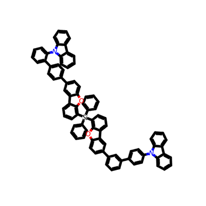 c1ccc([Si](c2ccccc2)(c2cccc3c2oc2ccc(-c4ccc(-c5ccccc5-n5c6ccccc6c6ccccc65)cc4)cc23)c2cccc3c2oc2ccc(-c4cccc(-c5ccc(-n6c7ccccc7c7ccccc76)cc5)c4)cc23)cc1